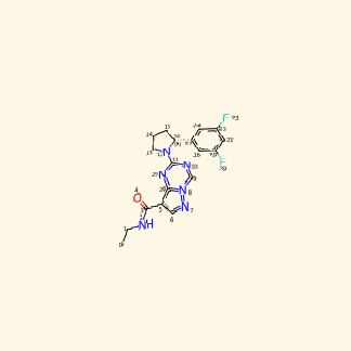 CCNC(=O)c1cnn2cnc(N3CCC[C@@H]3c3cc(F)cc(F)c3)nc12